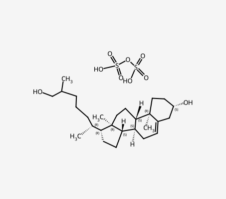 CC(CO)CCC[C@@H](C)[C@H]1CC[C@H]2[C@@H]3CC=C4C[C@@H](O)CC[C@]4(C)[C@H]3CC[C@]12C.O=S(=O)(O)OS(=O)(=O)O